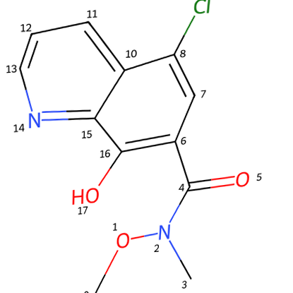 CON(C)C(=O)c1cc(Cl)c2cccnc2c1O